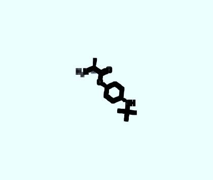 C[C@H](N)C(=O)O[C@H]1CC[C@H](NC(C)(C)C)CC1